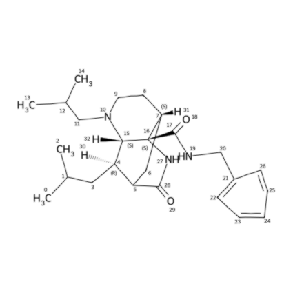 CC(C)C[C@@H]1C2C[C@H]3CCN(CC(C)C)[C@@H]1[C@@]3(C(=O)NCc1ccccc1)NC2=O